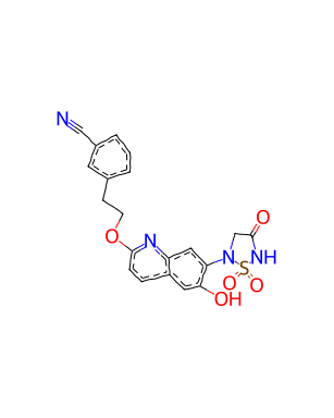 N#Cc1cccc(CCOc2ccc3cc(O)c(N4CC(=O)NS4(=O)=O)cc3n2)c1